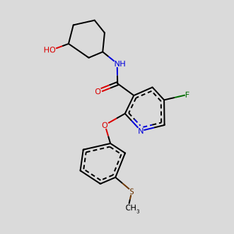 CSc1cccc(Oc2ncc(F)cc2C(=O)NC2CCCC(O)C2)c1